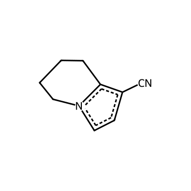 N#Cc1ccn2c1CCCC2